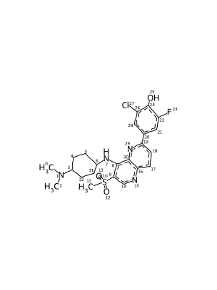 CN(C)C1CCC(Nc2c(S(C)(=O)=O)cnc3ccc(-c4cc(F)c(O)c(Cl)c4)nc23)CC1